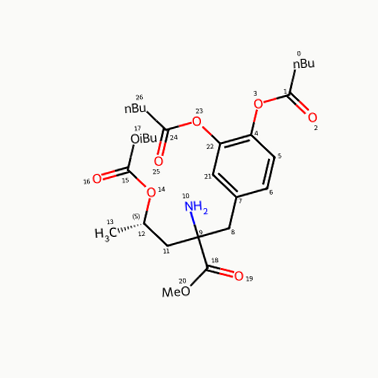 CCCCC(=O)Oc1ccc(CC(N)(C[C@H](C)OC(=O)OCC(C)C)C(=O)OC)cc1OC(=O)CCCC